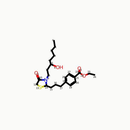 CCCCCC(O)CCN1C(=O)CSC1CCCc1ccc(C(=O)OCC)cc1